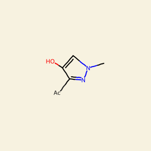 CC(=O)c1nn(C)cc1O